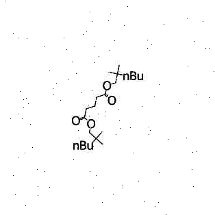 CCCCC(C)(C)COC(=O)CCCC(=O)OCC(C)(C)CCCC